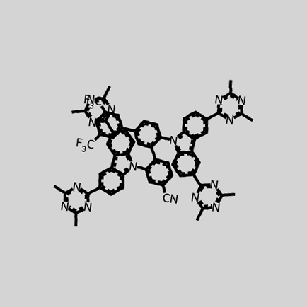 Cc1nc(C)nc(-c2ccc3c(c2)c2cc(-c4nc(C)nc(C)n4)ccc2n3-c2ccc(-c3cc(C(F)(F)F)cc(C(F)(F)F)c3)cc2-c2ccc(C#N)cc2-n2c3ccc(-c4nc(C)nc(C)n4)cc3c3cc(-c4nc(C)nc(C)n4)ccc32)n1